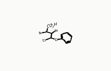 CCC(Oc1ccccc1)C(Br)C(Br)C(=O)O